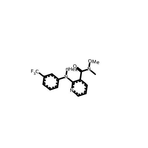 CCCCCCN(c1cccc(C(F)(F)F)c1)c1ncccc1C(=O)N(C)OC